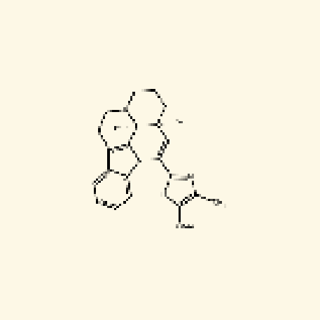 CC[C@@]12C=C(c3nc(C)c(OC)o3)n3c4c(c5ccccc53)CCN(CCC1)[C@H]42